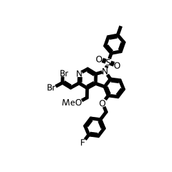 COCc1c(C=C(Br)Br)ncc2c1c1c(OCc3ccc(F)cc3)cccc1n2S(=O)(=O)c1ccc(C)cc1